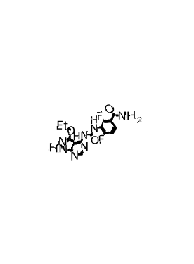 CCOc1n[nH]c2ncnc(NC(=O)Nc3c(F)ccc(C(N)=O)c3F)c12